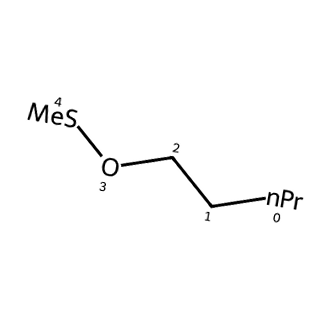 CCCCCOSC